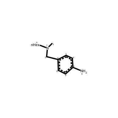 CCCCCCN(C)Cc1ccc(N)cc1